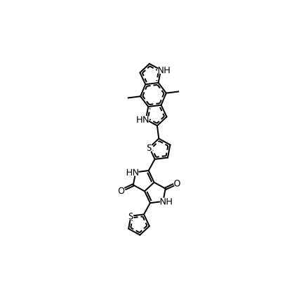 Cc1c2cc(-c3ccc(C4=C5C(=O)NC(c6cccs6)=C5C(=O)N4)s3)[nH]c2c(C)c2cc[nH]c12